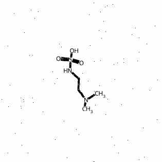 CN(C)CCNS(=O)(=O)O